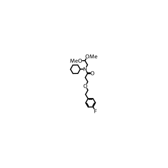 COC(CN(C(=O)CCOCCc1ccc(F)cc1)C1CCCCC1)OC